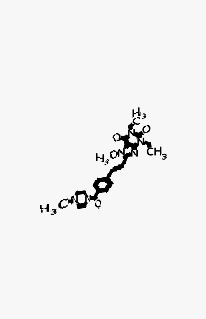 CCn1c(=O)c2c(nc(C=Cc3ccc(C(=O)N4CCN(C)CC4)cc3)n2C)n(CC)c1=O